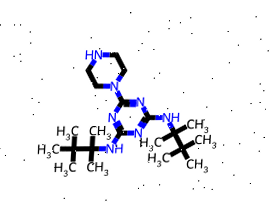 CC(C)(C)C(C)(C)Nc1nc(NC(C)(C)C(C)(C)C)nc(N2CCNCC2)n1